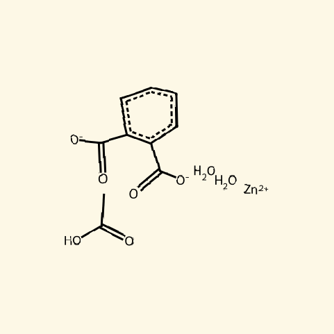 CC(=O)O.O.O.O=C([O-])c1ccccc1C(=O)[O-].[Zn+2]